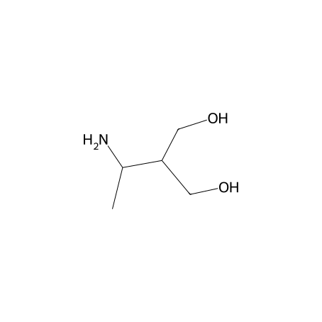 CC(N)C(CO)CO